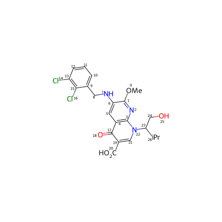 COc1nc2c(cc1NCc1cccc(Cl)c1Cl)c(=O)c(C(=O)O)cn2C(CO)C(C)C